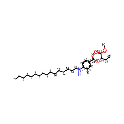 CCCCCCCCCCCCCCCCNc1ccc(C(=O)OC(CC)C(=O)OC)cc1F